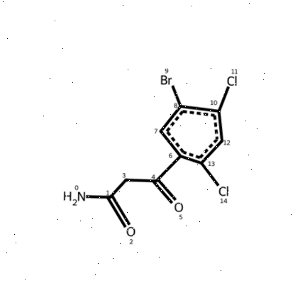 NC(=O)CC(=O)c1cc(Br)c(Cl)cc1Cl